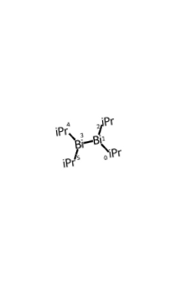 C[CH](C)[Bi]([CH](C)C)[Bi]([CH](C)C)[CH](C)C